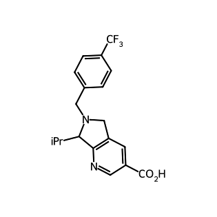 CC(C)C1c2ncc(C(=O)O)cc2CN1Cc1ccc(C(F)(F)F)cc1